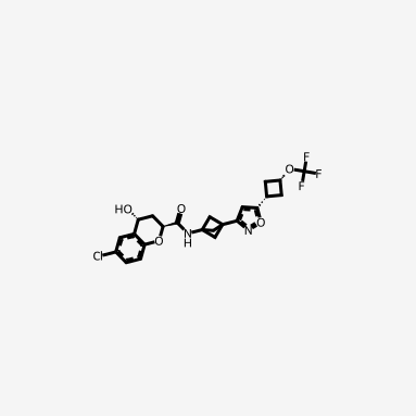 O=C(NC12CC(c3cc([C@H]4C[C@@H](OC(F)(F)F)C4)on3)(C1)C2)[C@@H]1C[C@@H](O)c2cc(Cl)ccc2O1